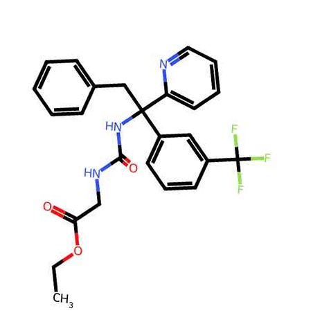 CCOC(=O)CNC(=O)NC(Cc1ccccc1)(c1cccc(C(F)(F)F)c1)c1ccccn1